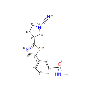 CNC(=O)c1cccc(-c2cnc(C3CCN(C#N)C3)s2)c1